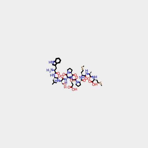 CSCC[C@H](NC(=O)[C@H](C)NC(=O)[C@H](CCSC)NC(=O)[C@@H]1CCCN1C(=O)[C@H](CCC(=O)O)NC(=O)[C@@H]1CCCN1C(=O)[C@@H](NC(=O)[C@H](CO)NC(=O)[C@H](CC(C)C)NC(=O)[C@@H](N)Cc1c[nH]c2ccccc12)[C@@H](C)O)C(=O)O